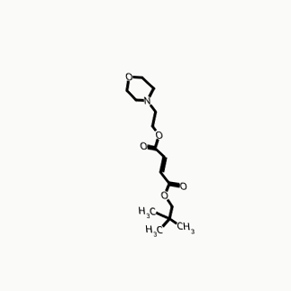 CC(C)(C)COC(=O)C=CC(=O)OCCN1CCOCC1